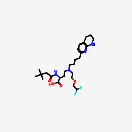 CC(C)(C)CC(=O)NC(CCN(CCCCc1ccc2c(n1)NCCC2)CCOCC(F)F)C(=O)O